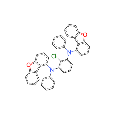 Clc1c(N(c2ccccc2)c2cccc3oc4ccccc4c23)cccc1N(c1ccccc1)c1cccc2oc3ccccc3c12